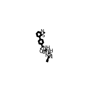 C#Cc1nsc(NC(=O)N[C@@H](CO)c2ccc(-c3cccc4ncsc34)cc2)n1